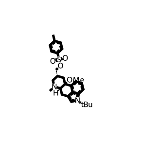 CO[C@]12C[C@@H](COS(=O)(=O)c3ccc(C)cc3)CN(C)[C@@H]1Cc1cn(C(C)(C)C)c3cccc2c13